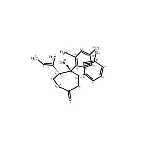 C/C=C(\C)[C@H]1CNC(=O)C[C@@H](c2cccc(Cl)c2)[C@@]1(C=O)c1ccc(Cl)cc1N